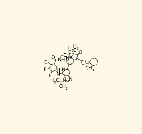 CCNC(=O)c1cc(Nc2nc(-c3cnc4c(c3)N([C@H]3C[C@@](C)(N5CCCCC5)C3)C(=O)C4(C)C)cc3ncn(C(C)C)c23)c(F)c(F)c1Cl